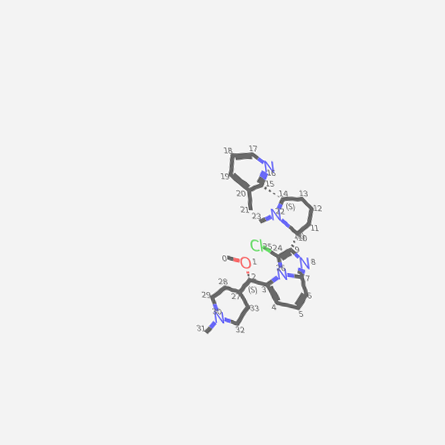 CO[C@H](c1cccc2nc([C@H]3CCC[C@@H](c4ncccc4C)N3C)c(Cl)n12)C1CCN(C)CC1